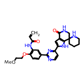 C=CC(=O)Nc1cc(-c2nccc(-c3cc4c([nH]3)C3(CCCCN3)CNC4=O)n2)ccc1OCCOC